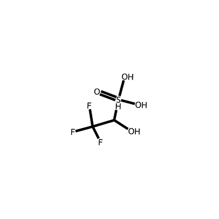 O=[SH](O)(O)C(O)C(F)(F)F